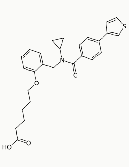 O=C(O)CCCCCOc1ccccc1CN(C(=O)c1ccc(-c2ccsc2)cc1)C1CC1